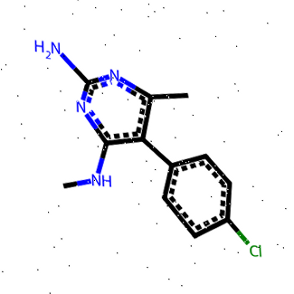 CNc1nc(N)nc(C)c1-c1ccc(Cl)cc1